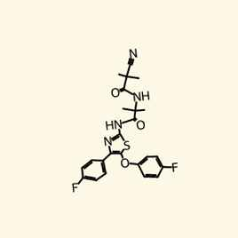 CC(C)(C#N)C(=O)NC(C)(C)C(=O)Nc1nc(-c2ccc(F)cc2)c(Oc2ccc(F)cc2)s1